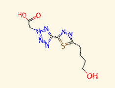 O=C(O)Cn1nnc(-c2nnc(CCCCO)s2)n1